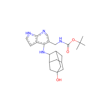 CC(C)(C)OC(=O)NCc1cnc2[nH]ccc2c1NC1C2CC3CC1CC(O)(C3)C2